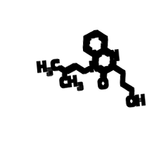 CC(C)=CCn1c(=O)c(CCCO)nc2ccccc21